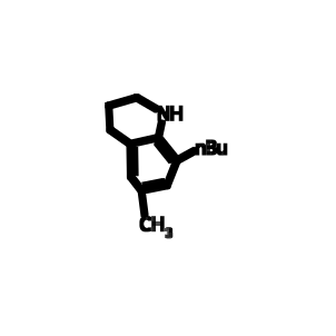 CCCCc1cc(C)cc2c1NCCC2